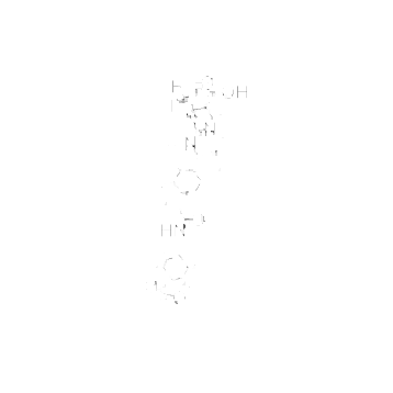 CCS(=O)(=O)c1ccc(CNC(=O)C(C)c2ccc3c(c2)CCN(c2ncc(C(=O)O)c(C(F)(F)F)n2)C3C(C)C)cc1